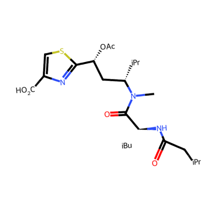 CC[C@H](C)[C@H](NC(=O)CC(C)C)C(=O)N(C)[C@H](C[C@@H](OC(C)=O)c1nc(C(=O)O)cs1)C(C)C